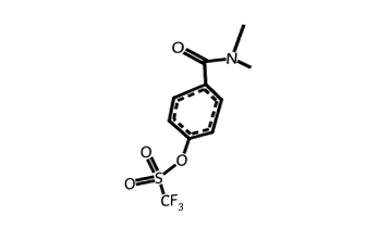 CN(C)C(=O)c1ccc(OS(=O)(=O)C(F)(F)F)cc1